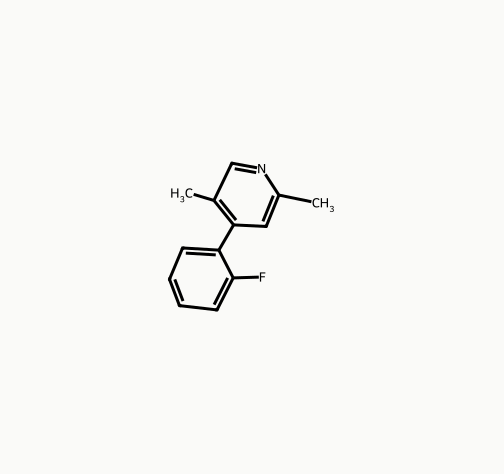 Cc1cc(-c2ccccc2F)c(C)cn1